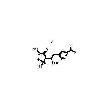 [2H]C([2H])([2H])N(C(=O)OC(C)(C)C)[C@H](Cc1cnn(C(F)F)c1)C(=O)[O-].[Li+]